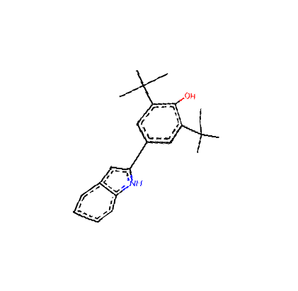 CC(C)(C)c1cc(-c2cc3ccccc3[nH]2)cc(C(C)(C)C)c1O